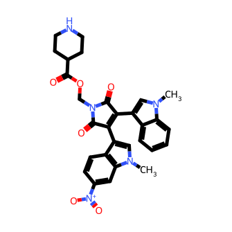 Cn1cc(C2=C(c3cn(C)c4cc([N+](=O)[O-])ccc34)C(=O)N(COC(=O)C3CCNCC3)C2=O)c2ccccc21